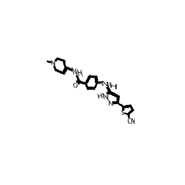 CN1CCC(NC(=O)c2ccc(Nc3cc(-c4ccc(C#N)s4)n[nH]3)cc2)CC1